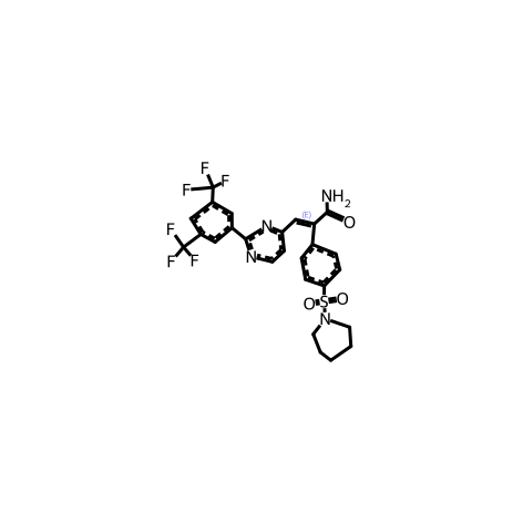 NC(=O)/C(=C/c1ccnc(-c2cc(C(F)(F)F)cc(C(F)(F)F)c2)n1)c1ccc(S(=O)(=O)N2CCCCC2)cc1